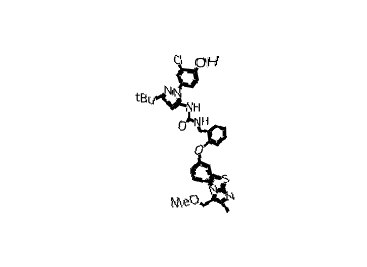 COCc1c(C)nc2sc3cc(Oc4ccccc4CNC(=O)Nc4cc(C(C)(C)C)nn4-c4ccc(O)c(Cl)c4)ccc3n12